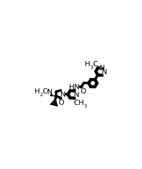 C=NC[C@@]1(C2CC2)CCN(c2cc(C)nc(NC(=O)Cc3cccc(-c4cnnc(C)c4)c3)c2)C1=O